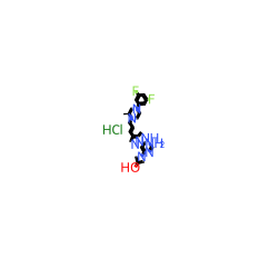 Cc1c(C=CCN2CCN(c3cc(F)cc(F)c3)C[C@@H]2C)cnn1C1(N)C=C(N2CC(O)C2)N=CN1.Cl